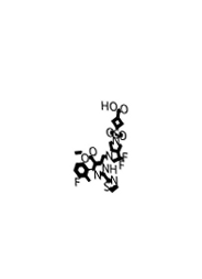 CCOC(=O)C1=C(CN2CC(F)(F)C3CN(S(=O)(=O)C4CC(C(=O)O)C4)CC32)NC(c2nccs2)=N[C@H]1c1cccc(F)c1C